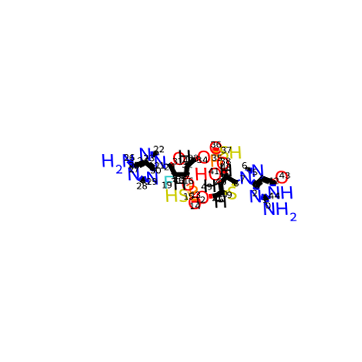 Nc1nc2c(ncn2[C@@H]2S[C@@H]3COP(=O)(S)O[C@H]4[C@H](F)[C@H](n5cnc6c(N)ncnc65)O[C@@H]4CO[P@@](=O)(S)O[C@@H]2[C@@H]3O)c(=O)[nH]1